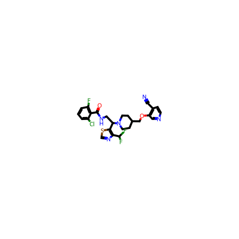 N#Cc1ccncc1OCC1CCN(C(CNC(=O)c2c(F)cccc2Cl)c2scnc2C(F)F)CC1